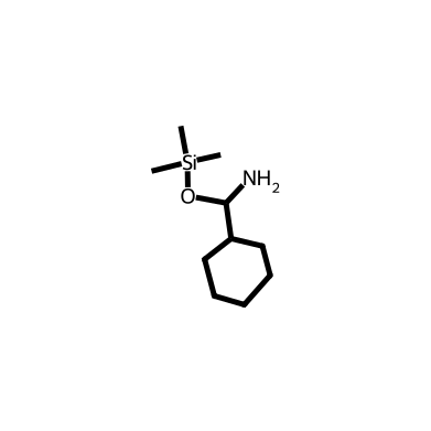 C[Si](C)(C)OC(N)C1CCCCC1